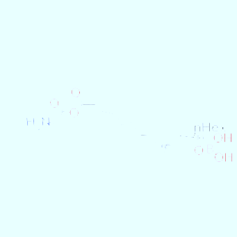 CCCCCC[C@H](C/C=C\CCCCCCCC(=O)OC(=O)CN)OB(O)O